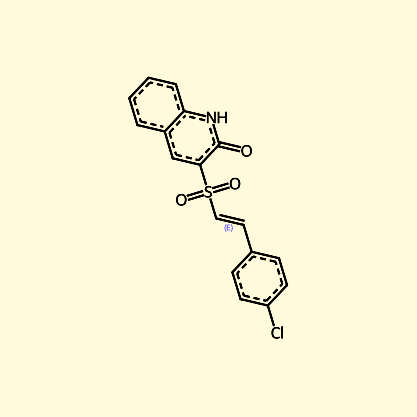 O=c1[nH]c2ccccc2cc1S(=O)(=O)/C=C/c1ccc(Cl)cc1